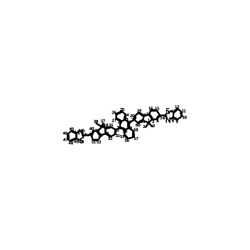 CC1(C)c2cc(-c3nc4ccccc4s3)ccc2-c2ccc(-c3c4ccccc4c(-c4ccc5c(c4)C(C)(C)c4cc(-c6nc7ccccc7s6)ccc4-5)c4ccccc34)cc21